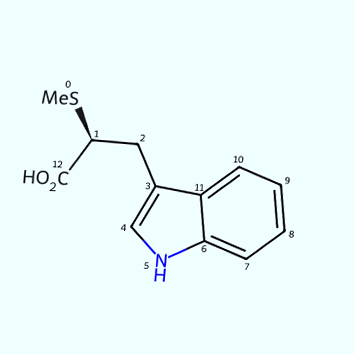 CS[C@@H](Cc1c[nH]c2ccccc12)C(=O)O